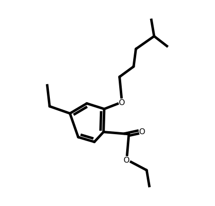 CCOC(=O)c1ccc(CC)cc1OCCCC(C)C